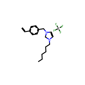 C=Cc1ccc(CN2C=CN(CCCCCC)C2)cc1.F[B-](F)(F)F